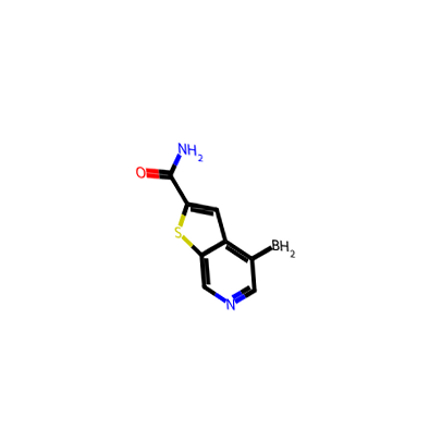 Bc1cncc2sc(C(N)=O)cc12